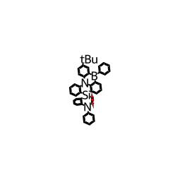 CC(C)(C)c1ccc2c(c1)B(c1ccccc1)c1cccc3c1N2c1ccccc1[Si]31c2ccccc2N(c2ccccc2)c2ccccc21